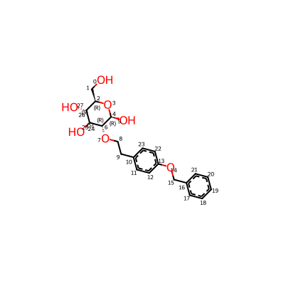 OC[C@H]1O[C@@H](O)[C@H](OCCc2ccc(OCc3ccccc3)cc2)[C@@H](O)[C@@H]1O